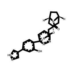 NCCC(=O)N1[C@@H]2CC[C@H]1C[C@@H](Oc1ccc(-c3ccc(-c4cn[nH]c4)cc3O)nn1)C2